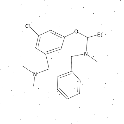 CCC(Oc1cc(Cl)cc(CN(C)C)c1)N(C)Cc1ccccc1